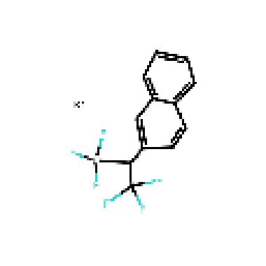 F[B-](F)(F)C(c1ccc2ccccc2c1)C(F)(F)F.[K+]